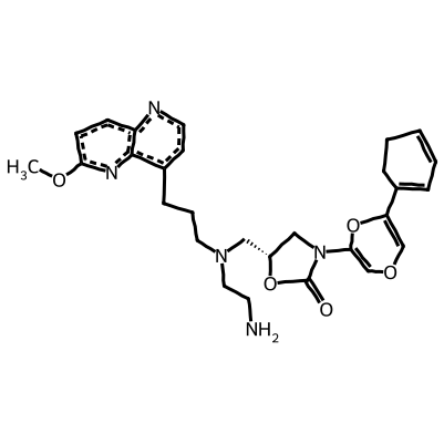 COc1ccc2nccc(CCCN(CCN)C[C@@H]3CN(C4=COC=C(C5=CC=CCC5)O4)C(=O)O3)c2n1